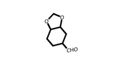 O=CC1CCC2OCOC2C1